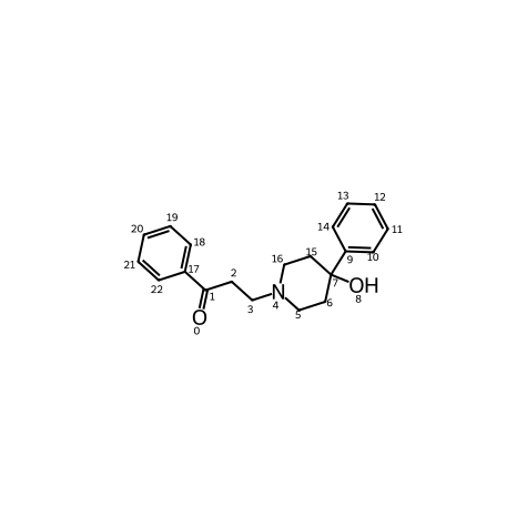 O=C(CCN1CCC(O)(c2ccccc2)CC1)c1ccccc1